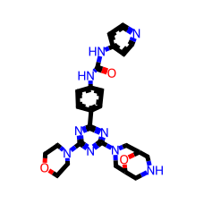 O=C(Nc1ccncc1)Nc1ccc(-c2nc(N3CCOCC3)nc(N3CC4CNCC(C3)O4)n2)cc1